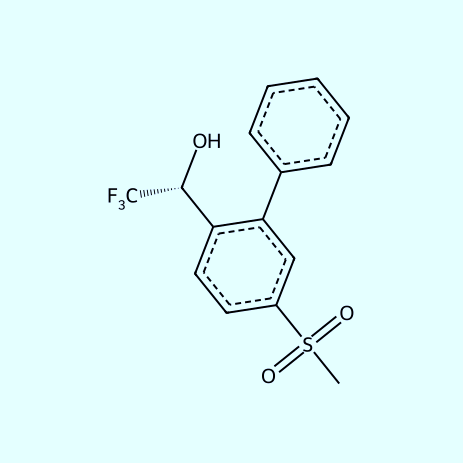 CS(=O)(=O)c1ccc([C@@H](O)C(F)(F)F)c(-c2ccccc2)c1